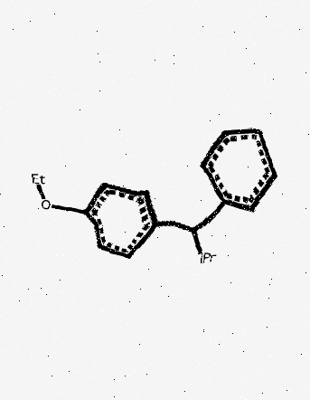 CCOc1ccc(C(c2ccccc2)C(C)C)cc1